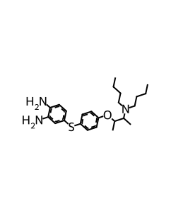 CCCCN(CCCC)C(C)C(C)Oc1ccc(Sc2ccc(N)c(N)c2)cc1